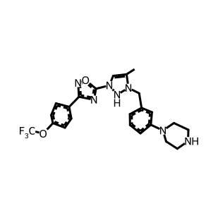 CC1=CN(c2nc(-c3ccc(OC(F)(F)F)cc3)no2)NN1Cc1cccc(N2CCNCC2)c1